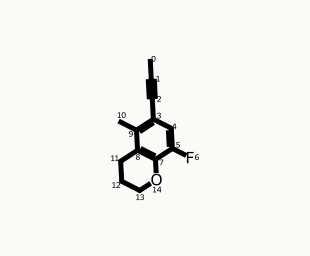 CC#Cc1cc(F)c2c(c1C)CCCO2